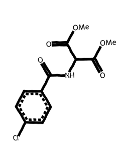 COC(=O)C(NC(=O)c1ccc(Cl)cc1)C(=O)OC